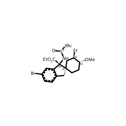 CCOC(=O)[C@]1(N[S+]([O-])C(C)(C)C)c2cc(Br)ccc2C[C@]12CC[C@@H](OC)[C@H](CC)C2